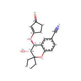 CCC1(CC)Oc2ccc(C#N)cc2[C@H](OC2=CC(=O)CC2)[C@H]1O